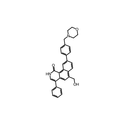 O=c1[nH]cc(-c2ccccc2)c2cc(CO)c3ccc(-c4ccc(CN5CCOCC5)cc4)cc3c12